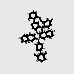 Cc1cc(C)c(B2c3cc(-c4c(C)cccc4C)ccc3N3c4cc5ccccc5cc4N(c4ccc(-c5c(C)cccc5C)cc4)c4cc5ccccc5c2c43)c(C)c1